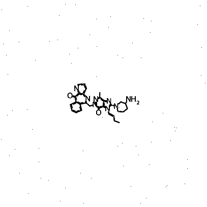 CC/C=C/n1c(N2CCCC(N)C2)nc2c(C)nn(Cc3nc4cccnc4c(=O)c4ccccc34)c(=O)c21